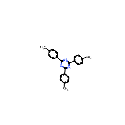 CCCCc1ccc(-c2nc(-c3ccc(C)cc3)nc(-c3ccc(C)cc3)n2)cc1